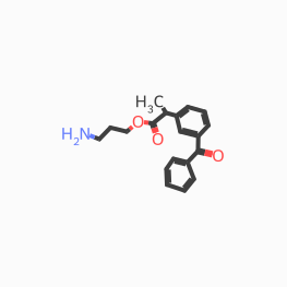 CC(C(=O)OCCCN)c1cccc(C(=O)c2ccccc2)c1